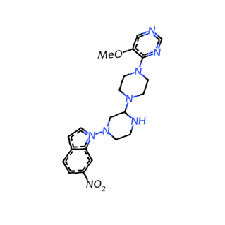 COc1cncnc1N1CCN(C2CN(n3ccc4ccc([N+](=O)[O-])cc43)CCN2)CC1